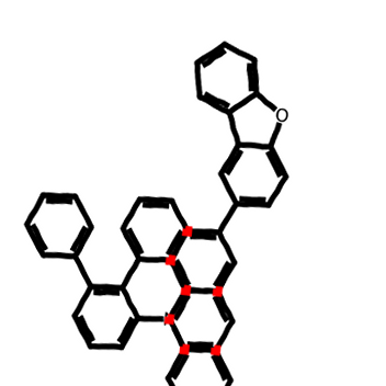 c1ccc(-c2ccccc2-c2c(-c3ccccc3)cccc2N(c2ccccc2)c2ccc(-c3ccc4oc5ccccc5c4c3)cc2)cc1